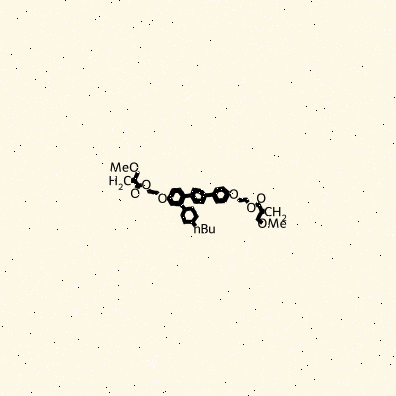 C=C(COC)C(=O)OCCOc1ccc(-c2ccc(-c3ccc(OCCOC(=O)C(=C)COC)cc3C3CCC(CCCC)CC3)cc2)cc1